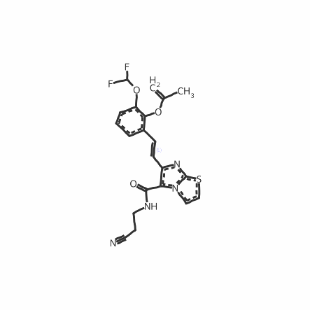 C=C(C)Oc1c(/C=C/c2nc3sccn3c2C(=O)NCCC#N)cccc1OC(F)F